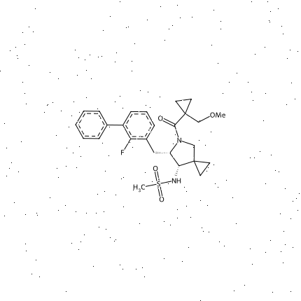 COCC1(C(=O)N2CC3(CC3)[C@H](NS(C)(=O)=O)[C@@H]2Cc2cccc(-c3ccccc3)c2F)CC1